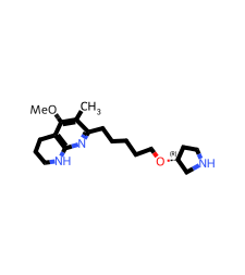 COc1c(C)c(CCCCCO[C@@H]2CCNC2)nc2c1CCCN2